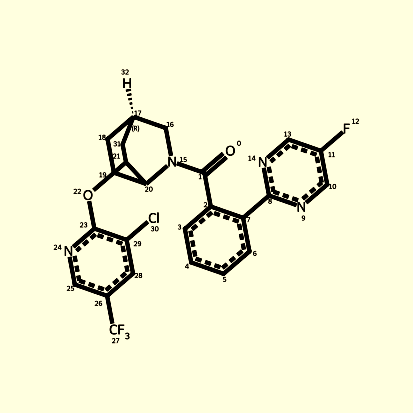 O=C(c1ccccc1-c1ncc(F)cn1)N1C[C@@H]2CCC1C(Oc1ncc(C(F)(F)F)cc1Cl)C2